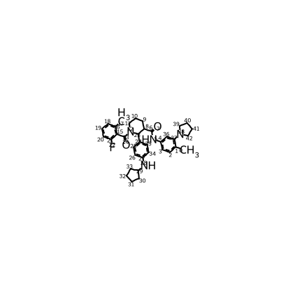 Cc1ccc(NC(=O)C2CCCN(C(=O)c3c(C)cccc3F)C2c2ccc(NC3CCCC3)cc2)cc1N1CCCC1